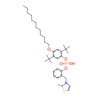 CCCCCCCCCCCCOc1cc(C(C)(C)C)c(OP(=O)(O)Oc2ccccc2CN2C=CSC2C)cc1C(C)(C)C